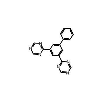 c1ccc(-c2cc(-c3ncncn3)cc(-c3ncncn3)c2)cc1